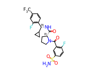 NS(=O)(=O)c1ccc(F)c(C(=O)N2CCC[C@@H]2C(=O)N[C@@H](c2ccc(C(F)(F)F)cc2F)C2CC2)c1